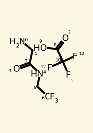 NCC(=O)NCC(F)(F)F.O=C(O)C(F)(F)F